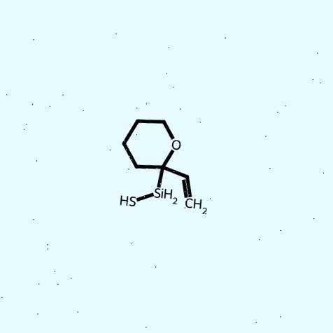 C=CC1([SiH2]S)CCCCO1